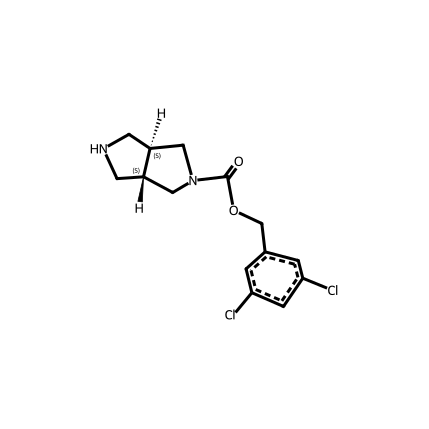 O=C(OCc1cc(Cl)cc(Cl)c1)N1C[C@@H]2CNC[C@H]2C1